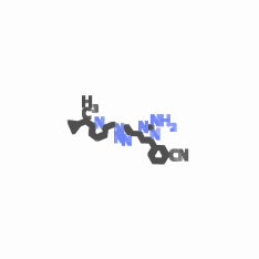 CC(c1cccc(Cn2cc(-c3cc(-c4cccc(C#N)c4)nc(N)n3)nn2)n1)C1CC1